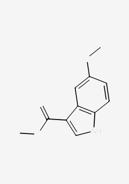 COC(=O)c1c[nH]c2ccc(SC)cc12